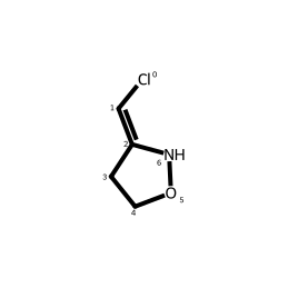 ClC=C1CCON1